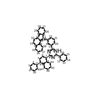 c1ccc(-c2ccc(C3=NC(c4ccccc4)NC(c4cccc(-n5c6ccccc6c6ccc7ccccc7c65)c4)=N3)c3ccccc23)cc1